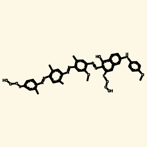 COc1ccc(Nc2ccc3c(O)c(N=Nc4cc(C)c(N=Nc5cc(C)c(N=Nc6ccc(SOOO)cc6C)cc5C)cc4OC)c(SOOO)cc3c2)cc1